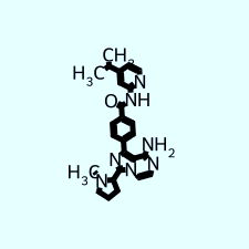 CC(C)c1ccnc(NC(=O)c2ccc(-c3nc(C4CCCN4C)n4ccnc(N)c34)cc2)c1